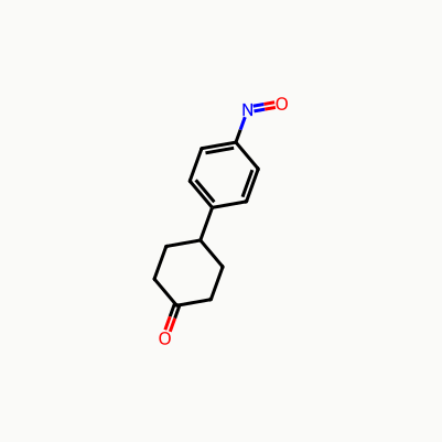 O=Nc1ccc(C2CCC(=O)CC2)cc1